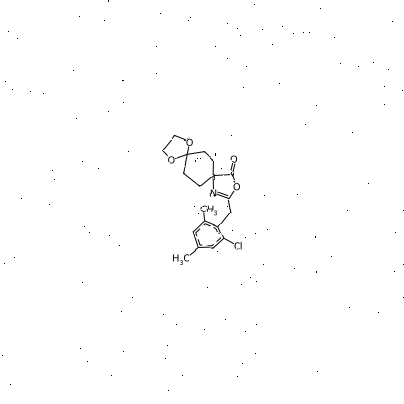 Cc1cc(C)c(CC2=NC3(CCC4(CC3)OCCO4)C(=O)O2)c(Cl)c1